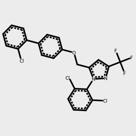 FC(F)(F)c1cc(COc2ccc(-c3ccccc3Cl)cc2)n(-c2c(Cl)cccc2Cl)n1